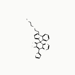 COCCOCCOc1ccccc1C1(c2cccs2)C2=NSNC2=C(c2cccs2)c2nccnc21